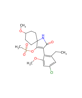 CCc1cc(Cl)cc(OC)c1C1=C(OS(C)(=O)=O)C2(CCC(OC)CC2)NC1=O